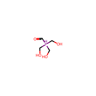 O=C[PH](CO)(CO)CO